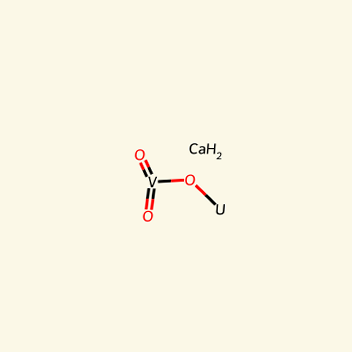 [CaH2].[O]=[V](=[O])[O][U]